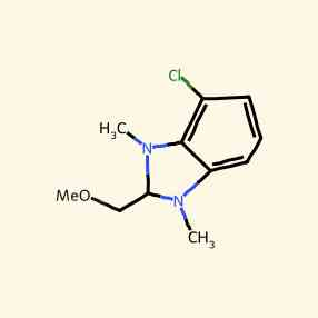 COCC1N(C)c2cccc(Cl)c2N1C